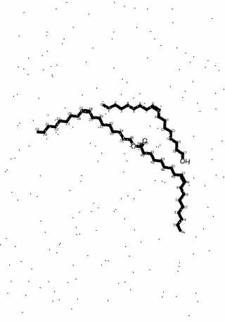 CCCCCCCC/C=C\CCCCCCCCO.CCCCCCCC/C=C\CCCCCCCCOC(=O)CCCCCCC/C=C\CCCCCCCC